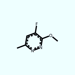 COc1nnc(C)cc1F